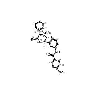 COc1cnc(C(=O)Nc2ccc(F)c([C@]3(C)CS(=O)(=O)[C@](C)(c4ccccn4)C(=N)N3)c2)cn1